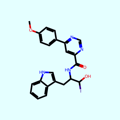 COc1ccc(-c2cc(C(=O)NC(Cc3c[nH]c4ccccc34)C(O)I)ncn2)cc1